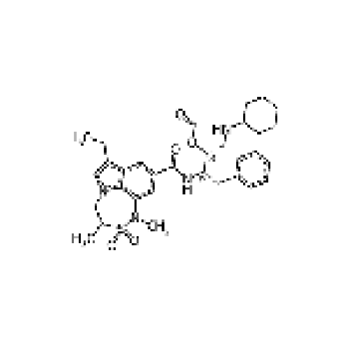 CCc1cn2c3c(cc(C(=O)N[C@@H](Cc4ccccc4)[C@@H](CNC4CCCCC4)OC=O)cc13)N(C)S(=O)(=O)C(C)C2